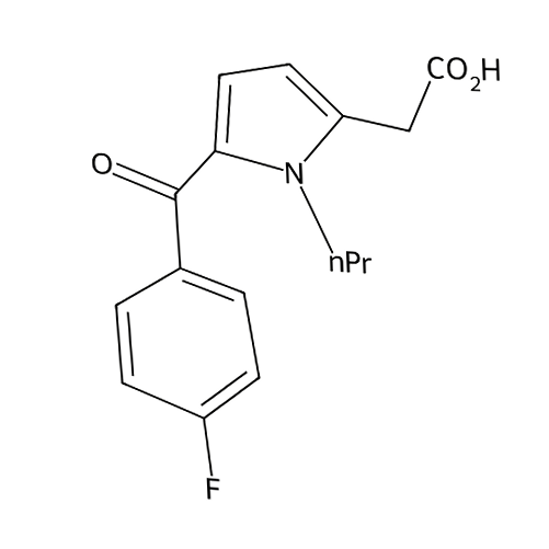 CCCn1c(CC(=O)O)ccc1C(=O)c1ccc(F)cc1